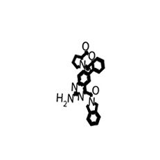 Nc1nc(C(=O)N2Cc3ccccc3C2)c2cc(C3=CC=C=CC34OC(=O)C3CCCN3C4=O)ccc2n1